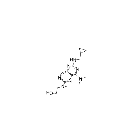 CN(C)c1nc(NCC2CC2)nc2cnc(NCCO)nc12